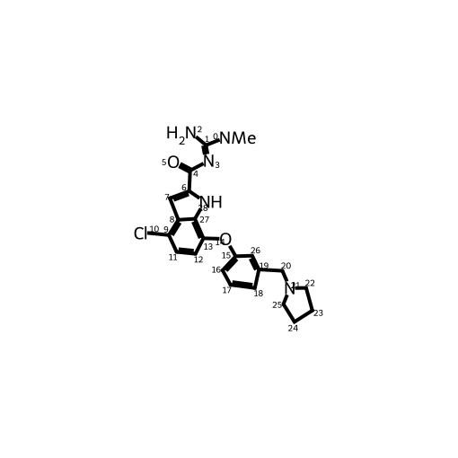 CNC(N)=NC(=O)c1cc2c(Cl)ccc(Oc3cccc(CN4CCCC4)c3)c2[nH]1